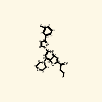 CCCC(=O)c1cc2nc(-n3ccc(-c4cccc(C)c4)n3)cc(N3CCOCC3)c2o1